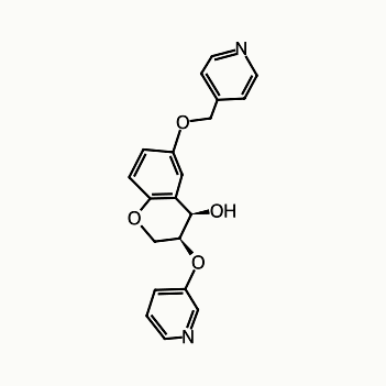 O[C@@H]1c2cc(OCc3ccncc3)ccc2OC[C@@H]1Oc1cccnc1